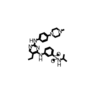 CCc1cnc(Nc2ccc(N3CCN(C)CC3)cc2)nc1Nc1cccc(S(=O)(=O)NC(C)C)c1